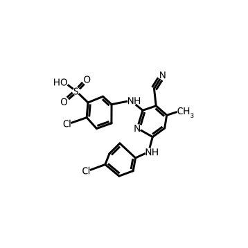 Cc1cc(Nc2ccc(Cl)cc2)nc(Nc2ccc(Cl)c(S(=O)(=O)O)c2)c1C#N